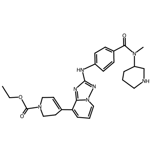 CCOC(=O)N1CC=C(c2cccn3nc(Nc4ccc(C(=O)N(C)C5CCCNC5)cc4)nc23)CC1